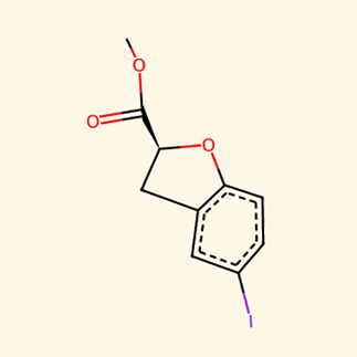 COC(=O)[C@@H]1Cc2cc(I)ccc2O1